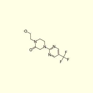 [O]CCN1CCN(c2ncc(C(F)(F)F)cn2)CC1=O